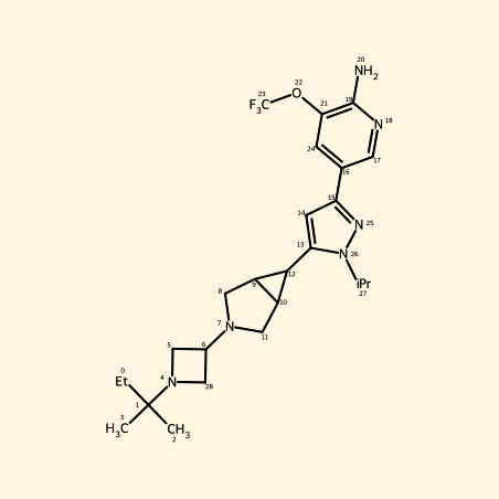 CCC(C)(C)N1CC(N2CC3C(C2)C3c2cc(-c3cnc(N)c(OC(F)(F)F)c3)nn2C(C)C)C1